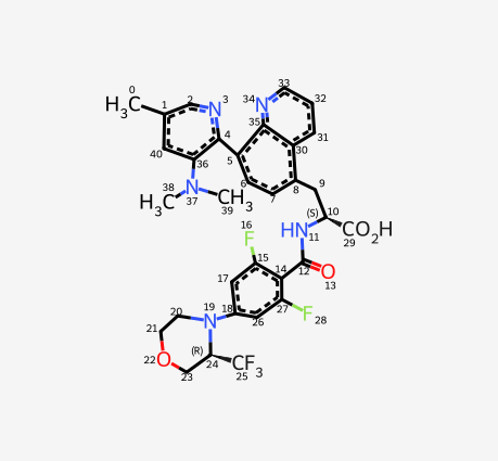 Cc1cnc(-c2ccc(C[C@H](NC(=O)c3c(F)cc(N4CCOC[C@@H]4C(F)(F)F)cc3F)C(=O)O)c3cccnc23)c(N(C)C)c1